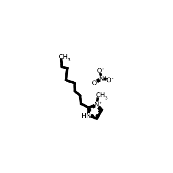 CCCCCCCCc1[nH]cc[n+]1C.O=[N+]([O-])[O-]